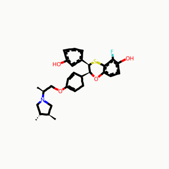 C[C@@H]1CN([C@@H](C)COC2=CCC([C@@H]3Oc4ccc(O)c(F)c4S[C@@H]3c3cccc(O)c3)C=C2)C[C@H]1C